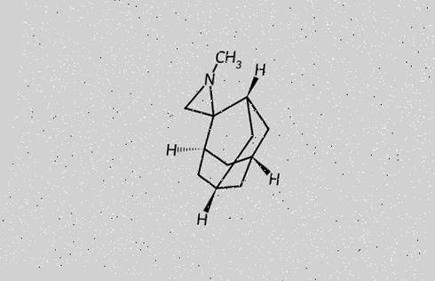 CN1CC12[C@H]1C[C@H]3C[C@H](C1)C[C@H]2C3